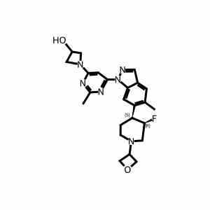 Cc1nc(N2CC(O)C2)cc(-n2ncc3cc(C)c([C@@H]4CCN(C5COC5)C[C@@H]4F)cc32)n1